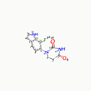 O=C1CCN(c2ccc3cc[nH]c3c2F)C(=O)N1